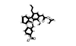 CCCc1cc(CC(=O)OC(C)C)c(SC)c2c1c1ccccc1n2Cc1cccc([N+](=O)[O-])c1